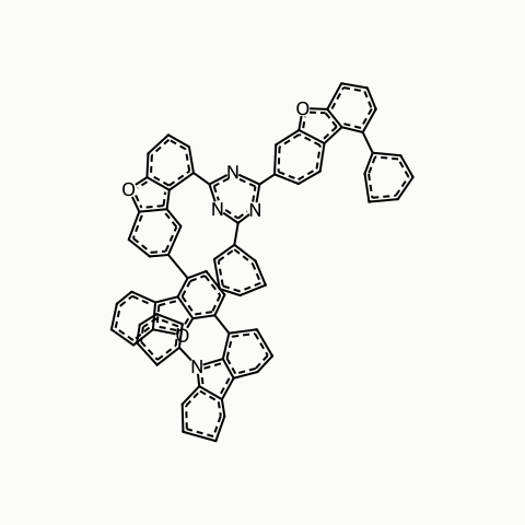 c1ccc(-c2nc(-c3ccc4c(c3)oc3cccc(-c5ccccc5)c34)nc(-c3cccc4oc5ccc(-c6ccc(-c7cccc8c9ccccc9n(-c9ccccc9)c78)c7oc8ccccc8c67)cc5c34)n2)cc1